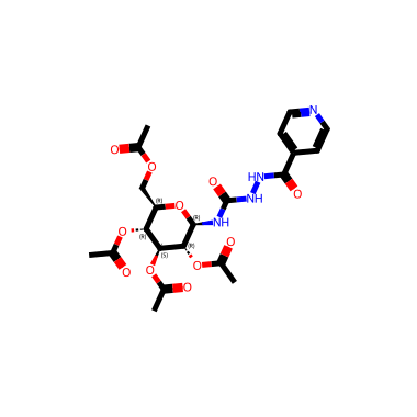 CC(=O)OC[C@H]1O[C@@H](NC(=O)NNC(=O)c2ccncc2)[C@H](OC(C)=O)[C@@H](OC(C)=O)[C@@H]1OC(C)=O